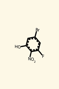 O=[N+]([O-])c1c(O)cc(Br)cc1F